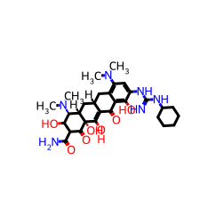 CN(C)c1cc(NC(=N)NC2CCCCC2)c(O)c2c1C[C@H]1C[C@H]3[C@H](N(C)C)C(O)C(C(N)=O)C(=O)[C@@]3(O)C(O)=C1C2=O